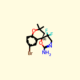 CC1(C)C[C@@]2(OC(N)=NCC2(F)F)c2cc(Br)ccc2O1